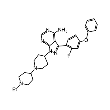 CCN1CCC(N2CCC(n3nc(-c4ccc(Oc5ccccc5)cc4F)c4c(N)ncnc43)CC2)CC1